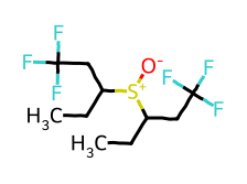 CCC(CC(F)(F)F)[S+]([O-])C(CC)CC(F)(F)F